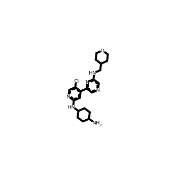 NC1CCC(Nc2cc(-c3cncc(NCC4CCOCC4)n3)c(Cl)cn2)CC1